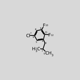 CC(C)Cc1cc(Cl)cc(F)c1F